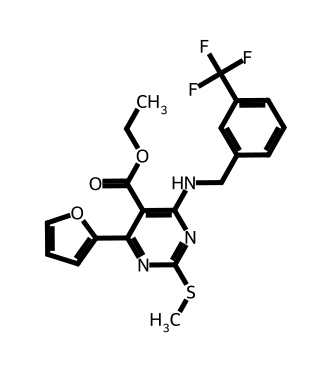 CCOC(=O)c1c(NCc2cccc(C(F)(F)F)c2)nc(SC)nc1-c1ccco1